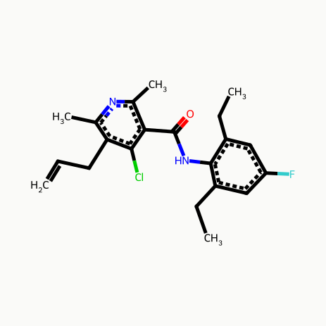 C=CCc1c(C)nc(C)c(C(=O)Nc2c(CC)cc(F)cc2CC)c1Cl